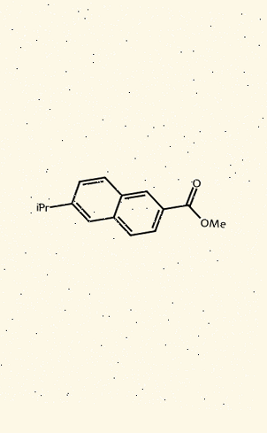 COC(=O)c1ccc2cc(C(C)C)ccc2c1